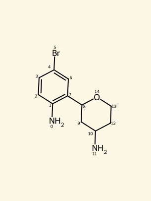 Nc1ccc(Br)cc1C1CC(N)CCO1